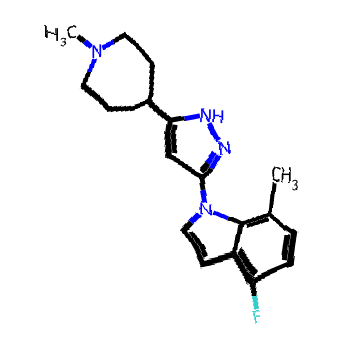 Cc1ccc(F)c2ccn(-c3cc(C4CCN(C)CC4)[nH]n3)c12